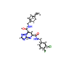 BC12CCC(CNC(=O)c3cc(C(=O)NCc4ccc(F)c(Cl)c4)nc4ncnn34)(CC1)CC2